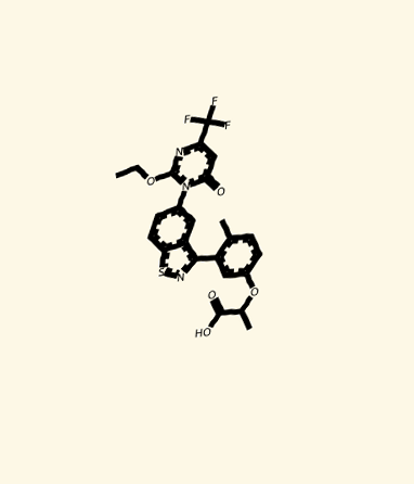 CCOc1nc(C(F)(F)F)cc(=O)n1-c1ccc2snc(-c3cc(OC(C)C(=O)O)ccc3C)c2c1